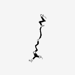 CCCNCCOCCCOC(C)C